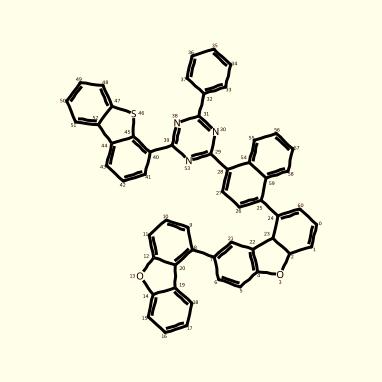 C1=CC2Oc3ccc(-c4cccc5oc6ccccc6c45)cc3C2C(c2ccc(-c3nc(-c4ccccc4)nc(-c4cccc5c4sc4ccccc45)n3)c3ccccc23)=C1